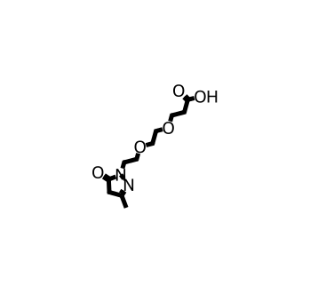 CC1=NN(CCOCCOCCC(=O)O)C(=O)C1